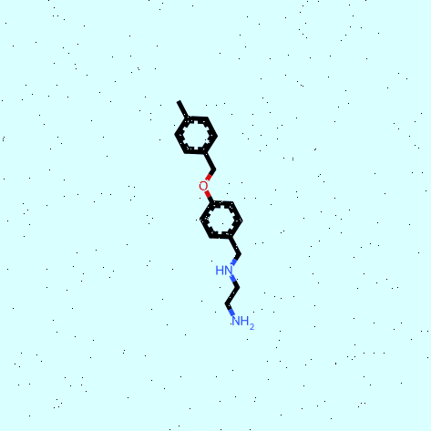 Cc1ccc(COc2ccc(CNCCN)cc2)cc1